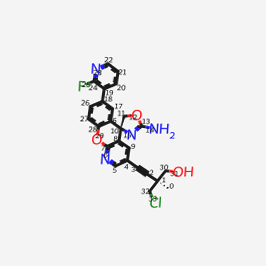 C[C@](C#Cc1cnc2c(c1)[C@]1(COC(N)=N1)c1cc(-c3cccnc3F)ccc1O2)(CO)CCl